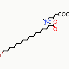 C[N+](C)(C)CC(CC(=O)[O-])OC(=O)CCCCCCCCCCCCCCCBr